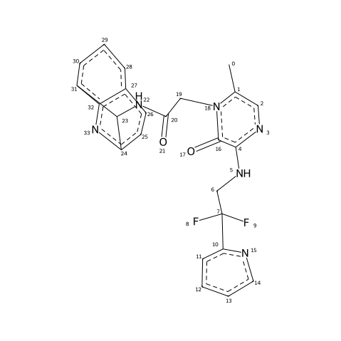 Cc1cnc(NCC(F)(F)c2ccccn2)c(=O)n1CC(=O)NC1c2ccc3cccc1c3n2